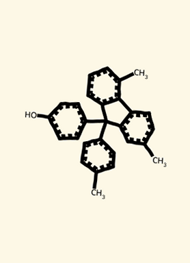 Cc1ccc(C2(c3ccc(O)cc3)c3cc(C)ccc3-c3c(C)cccc32)cc1